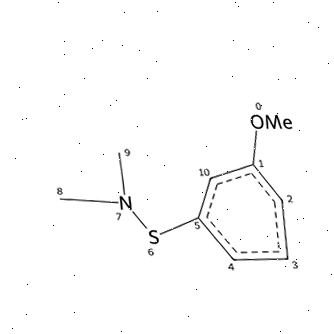 COc1cccc(SN(C)C)c1